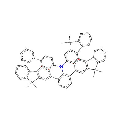 CC1(C)c2ccccc2-c2ccc(-c3cccc(-c4ccc5c(c4)C(C)(C)c4ccccc4-5)c3N(c3ccc(-c4ccccc4)cc3)c3ccc4c(c3)C(C)(C)c3ccccc3-4)cc21